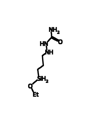 CCO[SiH2]CCCNNC(N)=O